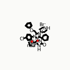 CCCCN1CN(C2(C3=[N+](N4CCNCC4)C(COc4ccccc4)N(c4ccc(Cl)cc4Cl)N3CC3OCCO3)C=CC=CC2)C(=O)N1.[Br-]